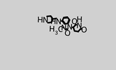 Cn1c(=O)n(C2CCC(=O)NC2=O)c2cccc(NCC3CCNCC3)c21